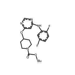 CC(C)(C)OC(=O)N1CCC(Oc2cc(Nc3cc(F)ccc3F)ncn2)CC1